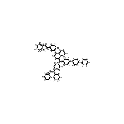 c1ccc(-c2ccc(-c3ccc(N(c4ccc(-c5cc6ccccc6c6ccccc56)cc4)c4ccc(-c5cccc(-c6cc7ccccc7o6)c5)c5ccccc45)cc3)cc2)cc1